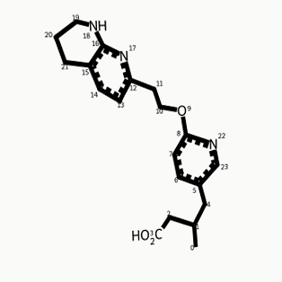 CC(CC(=O)O)Cc1ccc(OCCc2ccc3c(n2)NCCC3)nc1